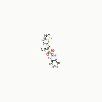 N#CC(=Cc1ccc([N+](=O)[O-])s1)S(=O)(=O)NCc1ccccc1